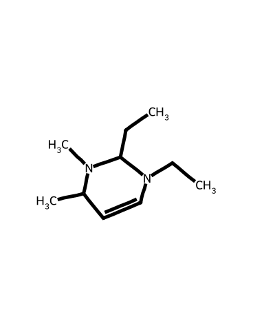 CCC1N(CC)C=CC(C)N1C